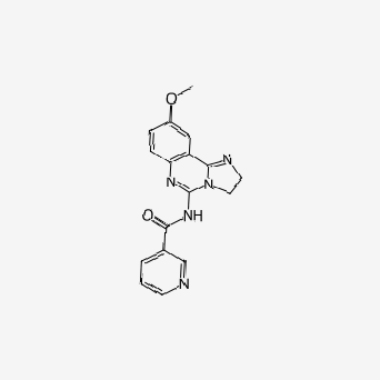 COc1ccc2c(c1)C1=NCCN1C(NC(=O)c1cccnc1)=N2